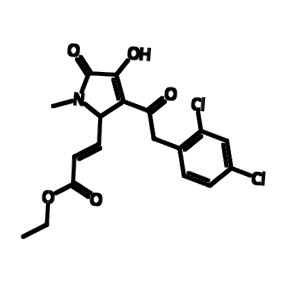 CCOC(=O)C=CC1C(C(=O)Cc2ccc(Cl)cc2Cl)=C(O)C(=O)N1C